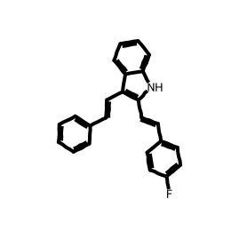 Fc1ccc(/C=C/c2[nH]c3ccccc3c2/C=C/c2ccccc2)cc1